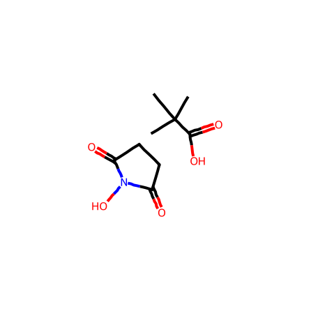 CC(C)(C)C(=O)O.O=C1CCC(=O)N1O